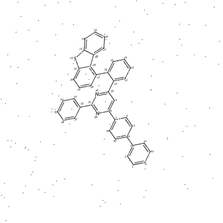 c1ccc(-c2ccc(-c3cc(-c4ccccc4-c4cccc5sc6ccccc6c45)nc(-c4ccccc4)n3)cc2)cc1